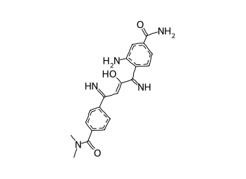 CN(C)C(=O)c1ccc(C(=N)/C=C(\O)C(=N)c2ccc(C(N)=O)cc2N)cc1